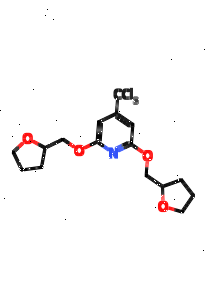 ClC(Cl)(Cl)c1cc(OCC2CCCO2)nc(OCC2CCCO2)c1